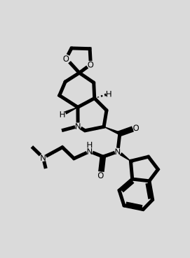 CN(C)CCNC(=O)N(C(=O)[C@@H]1C[C@@H]2CC3(CC[C@H]2N(C)C1)OCCO3)[C@H]1CCc2ccccc21